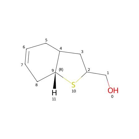 OCC1CC2CC=CC[C@H]2S1